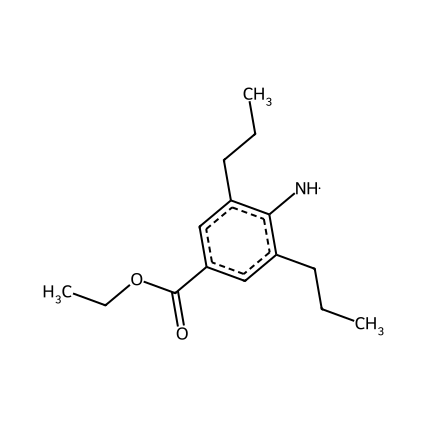 CCCc1cc(C(=O)OCC)cc(CCC)c1[NH]